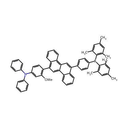 COc1cc(N(c2ccccc2)c2ccccc2)ccc1-c1cc2c3ccccc3c(-c3ccc(B(c4c(C)cc(C)cc4C)c4c(C)cc(C)cc4C)cc3)cc2c2ccccc12